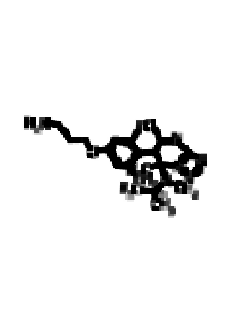 Cc1cc(OCCCN)cc(F)c1C1C(Cl)=Nc2ncnn2C1(C)N(C)[C@@H](C)C(F)(F)F